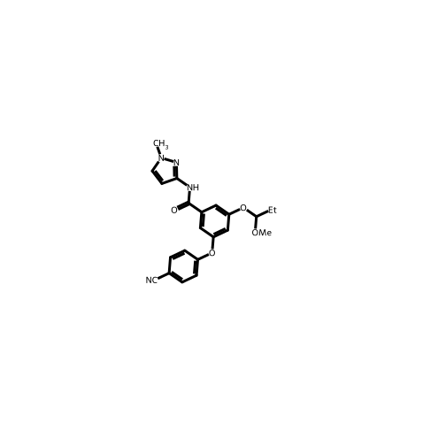 CCC(OC)Oc1cc(Oc2ccc(C#N)cc2)cc(C(=O)Nc2ccn(C)n2)c1